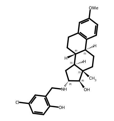 COc1ccc2c(c1)CC[C@@H]1[C@@H]2CC[C@]2(C)[C@@H](O)[C@H](NCc3cc(Cl)ccc3O)C[C@@H]12